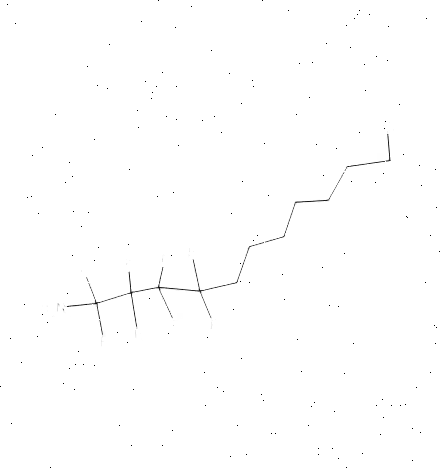 NC(F)(F)C(F)(F)C(F)(F)C(F)(F)CCCCCCCC(F)(F)F